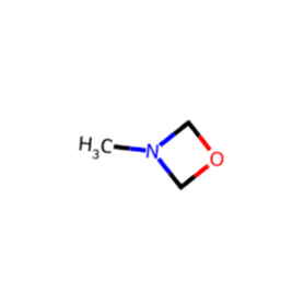 CN1COC1